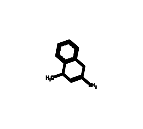 CC1[C]=C(N)Cc2ccccc21